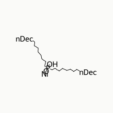 CCCCCCCCCCCCCCCCCCP(=O)(O)CCCCCCCCCCCCCCCCCC.[Ni]